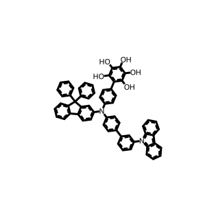 Oc1c(O)c(O)c(-c2ccc(N(c3ccc(-c4cccc(-n5c6ccccc6c6ccccc65)c4)cc3)c3ccc4c(c3)C(c3ccccc3)(c3ccccc3)c3ccccc3-4)cc2)c(O)c1O